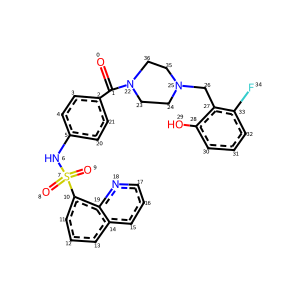 O=C(c1ccc(NS(=O)(=O)c2cccc3cccnc23)cc1)N1CCN(Cc2c(O)cccc2F)CC1